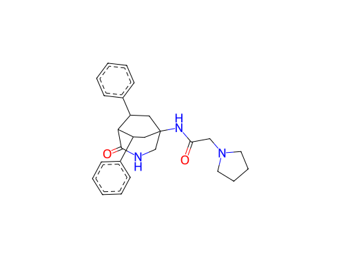 O=C(CN1CCCC1)NC12CNC(=O)C(C(c3ccccc3)C1)C(c1ccccc1)C2